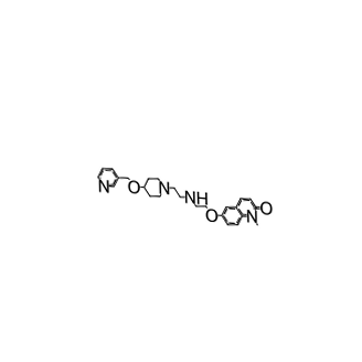 Cn1c(=O)ccc2cc(OCCNCCN3CCC(OCc4cccnc4)CC3)ccc21